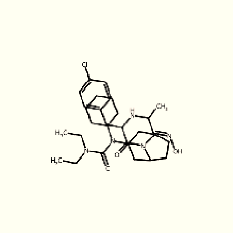 CCN(CC)C(=O)N(C1CCCCC1)C1CC2CCC(C1)N2C(=O)[C@@H](Cc1ccc(Cl)cc1)NC(C)C=NO